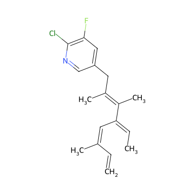 C=C\C(C)=C/C(=C\C)C(/C)=C(\C)Cc1cnc(Cl)c(F)c1